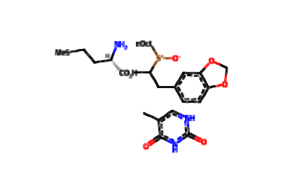 CCCCCCCC[S+]([O-])C(C)Cc1ccc2c(c1)OCO2.CSCC[C@H](N)C(=O)O.Cc1c[nH]c(=O)[nH]c1=O